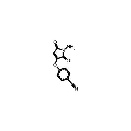 N#Cc1ccc(OC2=CC(=O)N(N)C2=O)cc1